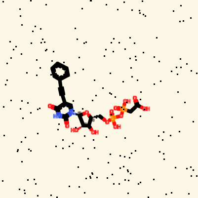 O=C(O)CP(=O)(O)OP(=O)(O)OC[C@H]1O[C@@H](n2cc(C#Cc3ccccc3)c(=O)[nH]c2=O)[C@@H](O)C1O